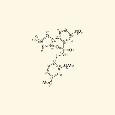 COc1ccc(CNS(=O)(=O)c2cc([N+](=O)[O-])ccc2-c2nnc(C(F)(F)F)o2)c(OC)c1